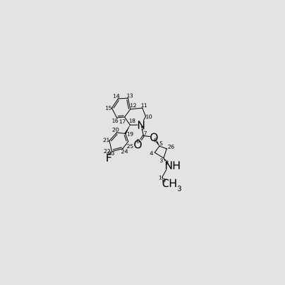 CCN[C@H]1C[C@@H](OC(=O)N2CCc3ccccc3[C@@H]2c2ccc(F)cc2)C1